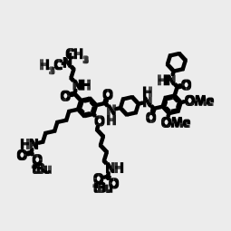 COc1cc(OC)c(C(=O)NC2CCC(NC(=O)c3cc(C(=O)NCCN(C)C)c(CCCCCCNC(=O)OC(C)(C)C)cc3OCCCCCNC(=O)OC(C)(C)C)CC2)cc1C(=O)NC1CCCCC1